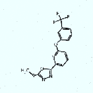 CSc1nnc(-c2cccc(Oc3cccc(C(F)(F)F)c3)n2)o1